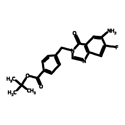 CC(C)(C)OC(=O)c1ccc(Cn2cnc3cc(F)c(N)cc3c2=O)cc1